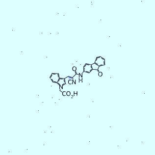 N#C/C(=C\c1cn(CC(=O)O)c2ccccc12)C(=O)Nc1ccc2c(c1)C(=O)c1ccccc1-2